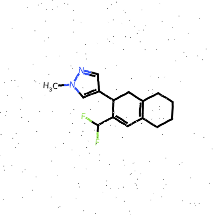 Cn1cc(C2CC3=C(C=C2C(F)F)CCCC3)cn1